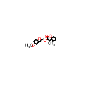 COc1ccc2oc(COc3c(C)c4ccccc4oc3=O)cc2c1